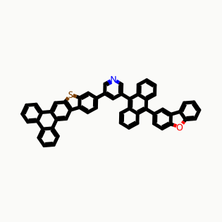 c1ccc2c(c1)oc1ccc(-c3c4ccccc4c(-c4cncc(-c5ccc6c(c5)sc5cc7c8ccccc8c8ccccc8c7cc56)c4)c4ccccc34)cc12